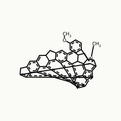 COc1ccc(C2N(C)CC3C4=c5c6c7c8c9c%10c(cc%11c%12c%13c%14c%15c(cc%16c%17c(c5c7c(c%17%15)c%14c8c%12%10)=C(C4)C%16)=CC%13C%11)=CC4CC32C=6C94)cc1